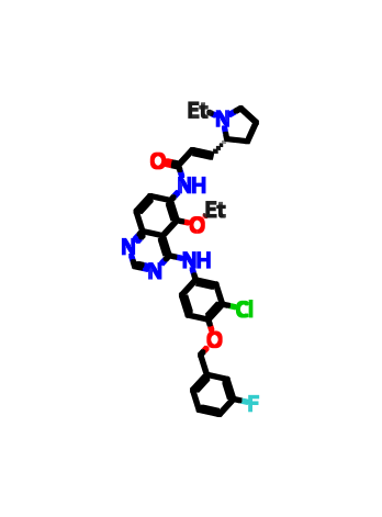 CCOc1c(NC(=O)/C=C/[C@H]2CCCN2CC)ccc2ncnc(Nc3ccc(OCc4cccc(F)c4)c(Cl)c3)c12